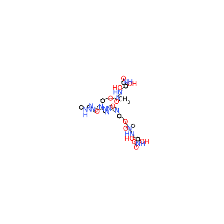 CN(CCNC[C@H](O)c1ccc(O)c2[nH]c(=O)ccc12)C(=O)CCOCCc1cccc(CN2CCC3(CC2c2ccnc(N4CCOC5(CCN(Cc6cccc(CCOCCC(=O)N(CCNC[C@H](O)c7ccc(O)c8c7OCC(=O)N8)C7CCCC7)c6)CC5)C4)n2)CN(c2nccc(Nc4ccccc4)n2)CCO3)c1